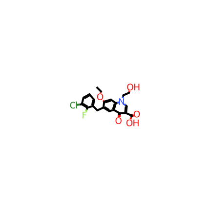 CCOc1cc2c(cc1Cc1cccc(Cl)c1F)c(=O)c(C(=O)O)cn2CCO